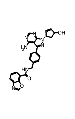 Nc1ncnc2c1c(-c1ccc(CNC(=O)c3cccc4ncoc34)cc1)nn2[C@@H]1C=CC(O)C1